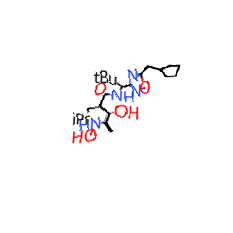 C=C(NO)[C@@H](O)[C@@H](CC(C)C)C(=O)N[C@H](c1noc(CC2CCCC2)n1)C(C)(C)C